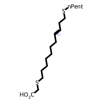 CCCCCSCC/C=C/CCCCCCCSCC(=O)O